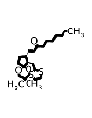 CCCCCCCC(=O)C=C[C@H]1CCC2(OCC(C)(C)CO2)[C@@H]1CC1SCCS1